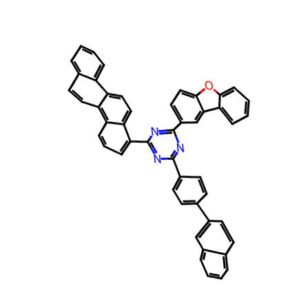 c1ccc2cc(-c3ccc(-c4nc(-c5ccc6oc7ccccc7c6c5)nc(-c5cccc6c5ccc5c7ccccc7ccc65)n4)cc3)ccc2c1